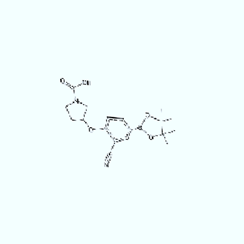 CC1(C)OB(c2ccc(OC3CCN(C(=O)O)C3)c(C#N)c2)OC1(C)C